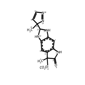 CCOC(=O)C1(C)C(=O)Nc2cc3c(cc21)NC(C1(C)C=CN=N1)N3